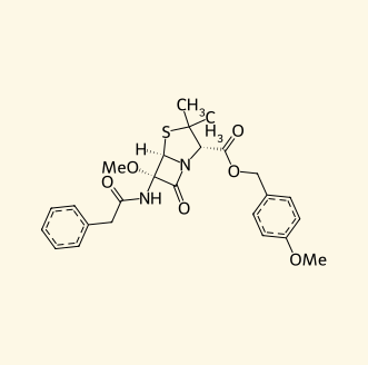 COc1ccc(COC(=O)[C@@H]2N3C(=O)[C@](NC(=O)Cc4ccccc4)(OC)[C@H]3SC2(C)C)cc1